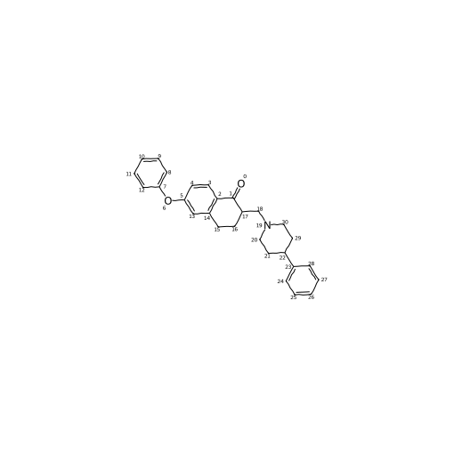 O=C1c2ccc(Oc3ccccc3)cc2CCC1CN1CCC(c2ccccc2)CC1